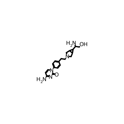 Nc1ccn(-c2ccc(CCN3CC4C(C3)C4C(N)CO)cc2)c(=O)n1